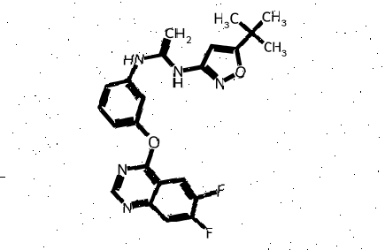 C=C(Nc1cccc(Oc2ncnc3cc(F)c(F)cc23)c1)Nc1cc(C(C)(C)C)on1